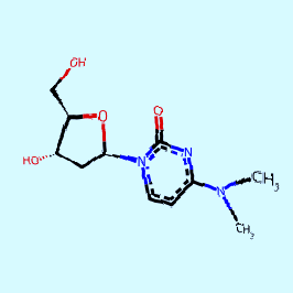 CN(C)c1ccn([C@H]2C[C@H](O)[C@@H](CO)O2)c(=O)n1